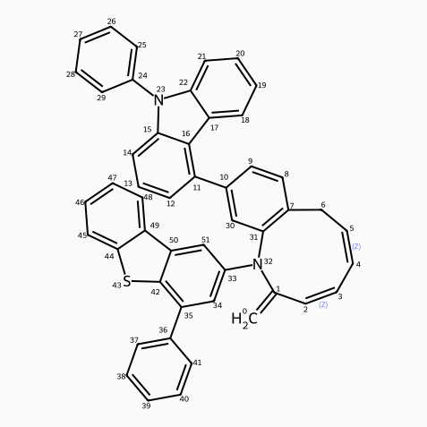 C=C1/C=C\C=C/Cc2ccc(-c3cccc4c3c3ccccc3n4-c3ccccc3)cc2N1c1cc(-c2ccccc2)c2sc3ccccc3c2c1